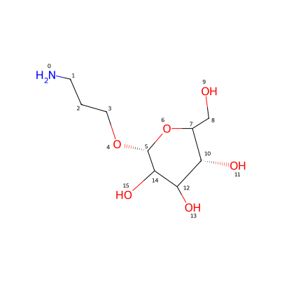 NCCCO[C@@H]1OC(CO)[C@H](O)C(O)C1O